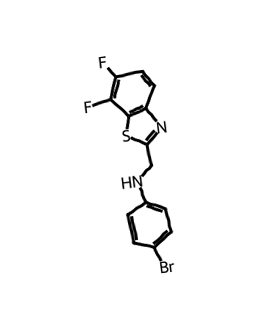 Fc1ccc2nc(CNc3ccc(Br)cc3)sc2c1F